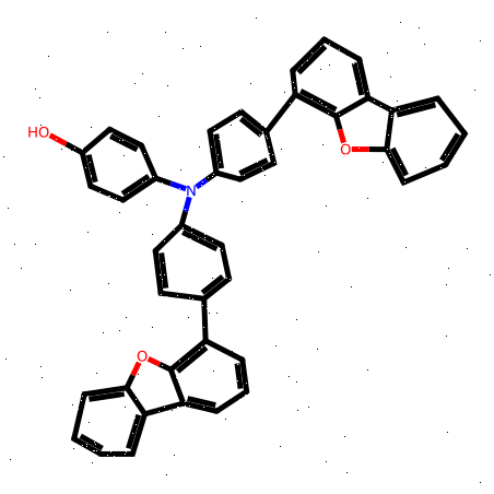 Oc1ccc(N(c2ccc(-c3cccc4c3oc3ccccc34)cc2)c2ccc(-c3cccc4c3oc3ccccc34)cc2)cc1